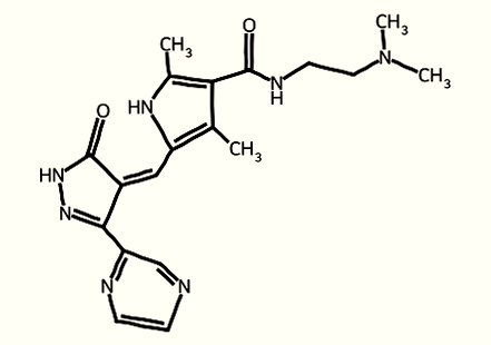 Cc1[nH]c(C=C2C(=O)NN=C2c2cnccn2)c(C)c1C(=O)NCCN(C)C